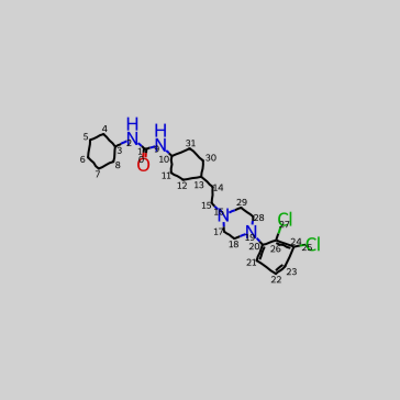 O=C(NC1CCCCC1)NC1CCC(CCN2CCN(c3cccc(Cl)c3Cl)CC2)CC1